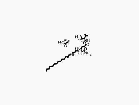 CCCCCCCCCCCCCCNCCCC(=O)NC(CCC(=O)ON[C@H](C(N)=O)C(C)C)NC(N)=O.O=C(O)C(F)(F)F